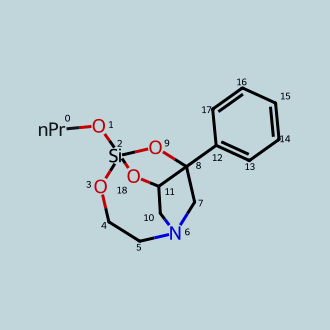 CCCO[Si]12OCCN(CCO1)CC(c1ccccc1)O2